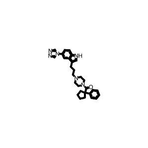 O=C(N1CCN(CCCc2c[nH]c3ccc(-n4cnnc4)cc23)CC1)C1(c2ccccc2)CCCC1